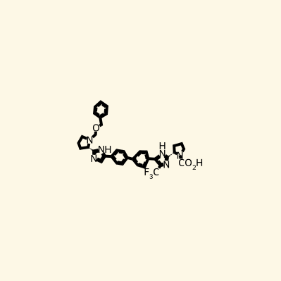 O=C(O)N1CCC[C@H]1c1nc(C(F)(F)F)c(-c2ccc(-c3ccc(-c4cnc([C@@H]5CCCN5COCc5ccccc5)[nH]4)cc3)cc2)[nH]1